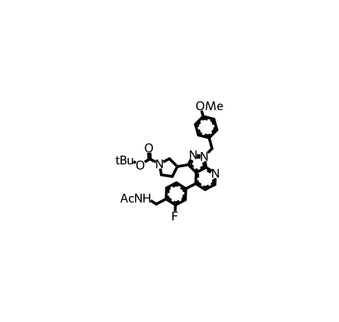 COc1ccc(Cn2nc(C3CCN(C(=O)OC(C)(C)C)C3)c3c(-c4ccc(CNC(C)=O)c(F)c4)ccnc32)cc1